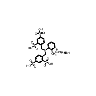 Cc1ccccc1N(Cc1ccc(S(=O)(=O)O)cc1S(=O)(=O)O)Cc1ccc(S(=O)(=O)O)cc1S(=O)(=O)O.[NaH].[NaH].[NaH].[NaH]